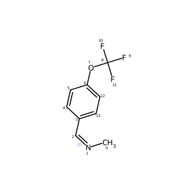 C/N=C\c1ccc(OC(F)(F)F)cc1